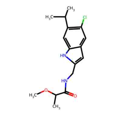 COC(C)C(=O)NCc1cc2cc(Cl)c(C(C)C)cc2[nH]1